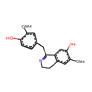 COc1cc(CC2=NCCc3cc(OC)c(O)cc32)ccc1O